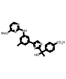 COc1ccnc(Nc2cc(C)cc(-c3cnc(C(C)(O)c4ccc(C(=O)O)cc4)s3)c2)n1